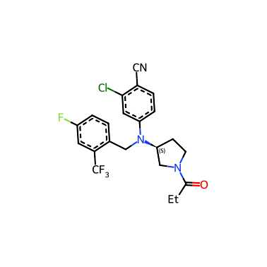 CCC(=O)N1CC[C@H](N(Cc2ccc(F)cc2C(F)(F)F)c2ccc(C#N)c(Cl)c2)C1